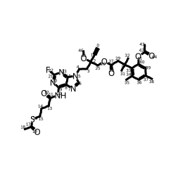 C#CC(CCn1cnc2c(NC(=O)CCCSC(C)=O)nc(F)nc21)(COC(=O)CC(C)(C)c1c(C)cc(C)cc1OC(C)=O)OC